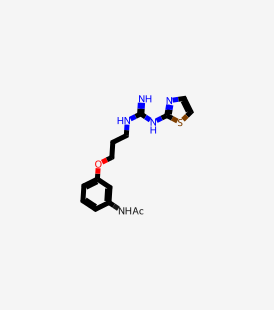 CC(=O)Nc1cccc(OCCCNC(=N)Nc2nccs2)c1